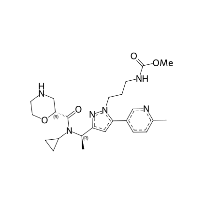 COC(=O)NCCCn1nc([C@@H](C)N(C(=O)[C@H]2CNCCO2)C2CC2)cc1-c1ccc(C)nc1